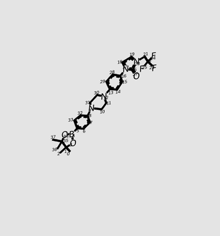 CC1(C)OB(c2ccc(N3CCN(c4ccc(-n5ccn(CC(F)(F)F)c5=O)cc4)CC3)cc2)OC1(C)C